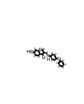 O=c1c(CNc2ccc(Oc3ccccc3)cc2)coc2cc(O)ccc12